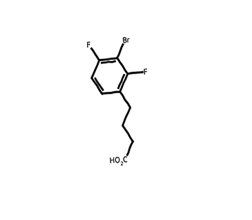 O=C(O)CCCc1ccc(F)c(Br)c1F